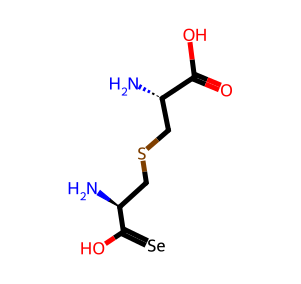 N[C@@H](CSC[C@H](N)C(O)=[Se])C(=O)O